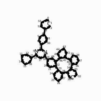 c1ccc(-c2ccc(-c3nc(-c4ccccc4)cc(-c4ccc5c6ccccc6c6ccccc6c6ccccc6c6ccccc6c5c4)n3)cc2)cc1